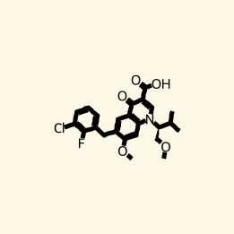 COC[C@H](C(C)C)n1cc(C(=O)O)c(=O)c2cc(Cc3cccc(Cl)c3F)c(OC)cc21